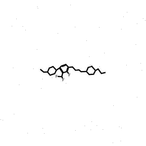 CCCC1CCC(CCCCc2ccc(C3CCC(CC)CC3)c(C(F)F)c2F)CC1